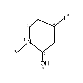 CN1CCC(I)=CC1O